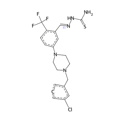 NC(=S)N/N=C/c1cc(N2CCN(Cc3cccc(Cl)c3)CC2)ccc1C(F)(F)F